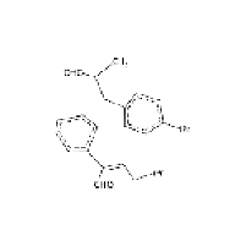 CC(C)CC=C(C=O)c1ccccc1.CC(C=O)Cc1ccc(C(C)C)cc1